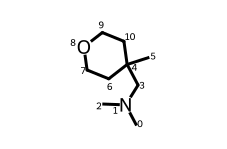 CN(C)CC1(C)CCOCC1